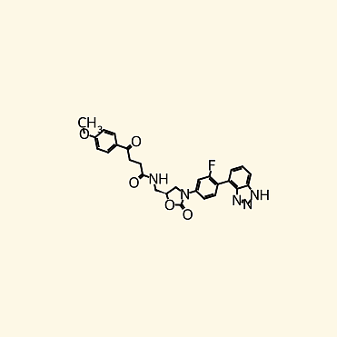 COc1ccc(C(=O)CCC(=O)NC[C@H]2CN(c3ccc(-c4cccc5[nH]nnc45)c(F)c3)C(=O)O2)cc1